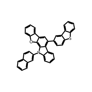 c1ccc2cc(-n3c4ccccc4c4c(-c5ccc6sc7ccccc7c6c5)cc5c6ccccc6oc5c43)ccc2c1